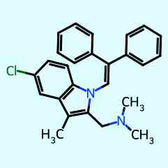 Cc1c(CN(C)C)n(C=C(c2ccccc2)c2ccccc2)c2ccc(Cl)cc12